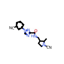 CC1C(CNC(=O)c2ncn(-c3cccc(C#N)c3)n2)CCN1C#N